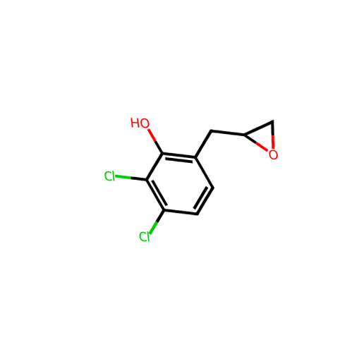 Oc1c(CC2CO2)ccc(Cl)c1Cl